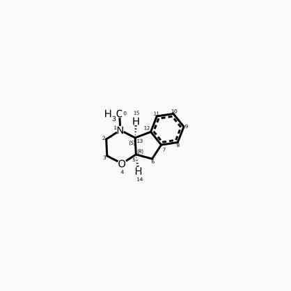 CN1CCO[C@@H]2Cc3ccccc3[C@@H]21